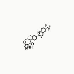 Cc1cc(-c2ncc3cc(C(F)(F)F)ccc3n2)ccc1N1C(=O)c2[nH]ncc2OCC1C